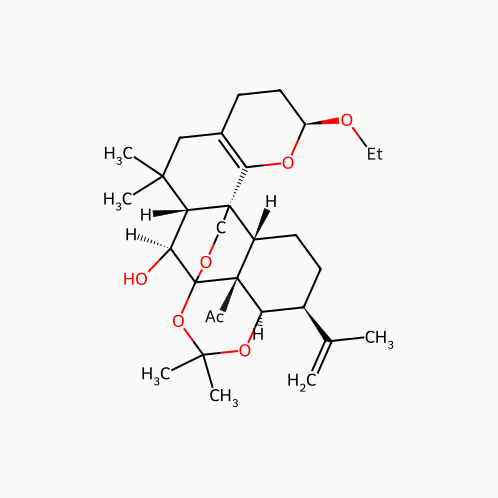 C=C(C)[C@@H]1CC[C@H]2[C@@]34COC5(OC(C)(C)O[C@H]1[C@@]25C(C)=O)[C@@H](O)[C@@H]3C(C)(C)CC1=C4O[C@H](OCC)CC1